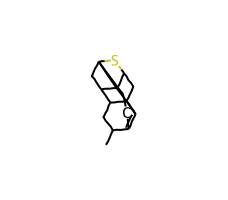 CC1CC2C3CC4CC2C2=C1CCC2(C3)S4